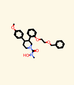 COc1ccc(C2CCN(C(=O)N(C)O)CC2c2ccccc2OCCOCc2ccccc2)cc1